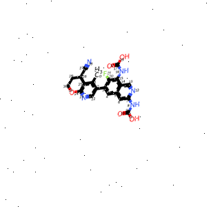 Cc1c(-c2cc3cc(NC(=O)O)ncc3c(NC(=O)O)c2F)cnc2c1C(C#N)CCO2